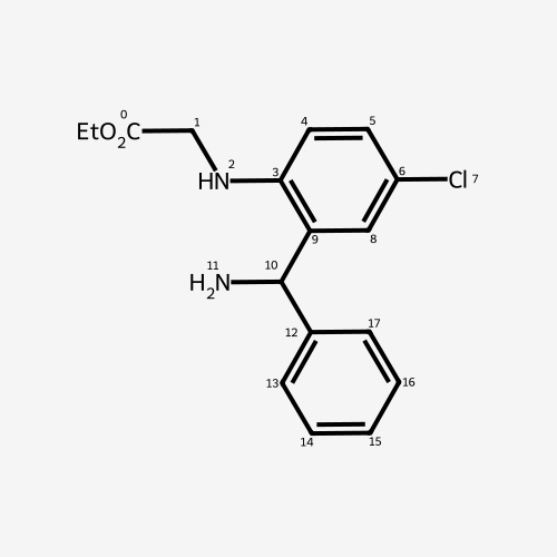 CCOC(=O)CNc1ccc(Cl)cc1C(N)c1ccccc1